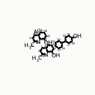 Cc1ccc2cccc(O)c2n1.Cc1ccc2cccc(O)c2n1.Oc1ccc(-c2ccccc2)cc1.[Al+3]